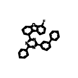 Fc1cccc2c1oc1cccc(-c3nc(-c4ccccc4)nc(-c4cccc(-c5ccccc5)c4)n3)c12